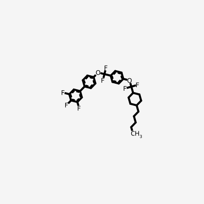 CCCCCC1CCC(C(F)(F)Oc2ccc(C(F)(F)Oc3ccc(-c4cc(F)c(F)c(F)c4)cc3)cc2)CC1